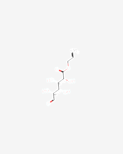 C=CCOC(=O)[C@@H](O)[C@@H](O)[C@H](O)[C@@H](O)C=O